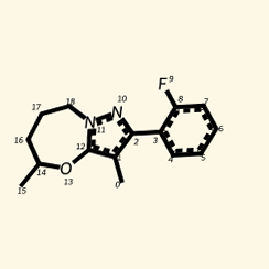 Cc1c(-c2ccccc2F)nn2c1OC(C)CCC2